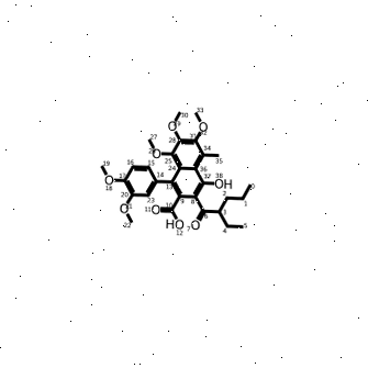 CCCC(CC)C(=O)c1c(C(=O)O)c(-c2ccc(OC)c(OC)c2)c2c(OC)c(OC)c(OC)c(C)c2c1O